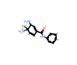 NC1C=C(C(=O)Nc2ccccc2)C=CC1(N)Cl